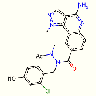 CC(=O)N(C)N(Cc1ccc(C#N)cc1Cl)C(=O)c1ccc2nc(N)c3cnn(C)c3c2c1